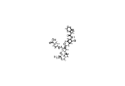 CN(C)C(=O)[C@@H]1CCCN1[C@H]1C[C@@H](CO[C@H]2CC[C@H](C(=O)O)CC2)N(C(=O)Cc2cc(Cl)c(NC(=O)c3csc4ccccc34)cc2F)C1